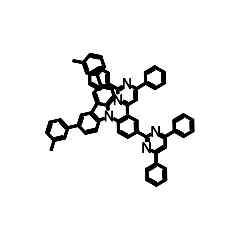 Cc1cccc(-c2ccc3c(c2)c2cc(-c4cccc(C)c4)ccc2n3-c2ccc(-c3nc(-c4ccccc4)cc(-c4ccccc4)n3)cc2-c2cc(-c3ccccc3)nc(-c3ccccc3)n2)c1